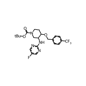 CC(C)(C)OC(=O)N1CCC(OCc2ccc(C(F)(F)F)cc2)C(Nc2ncc(F)cn2)C1